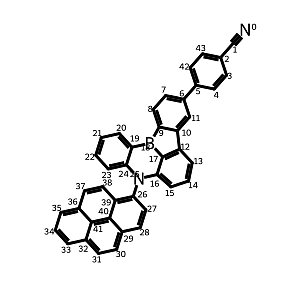 N#Cc1ccc(-c2ccc3c(c2)-c2cccc4c2B3c2ccccc2N4c2ccc3ccc4cccc5ccc2c3c45)cc1